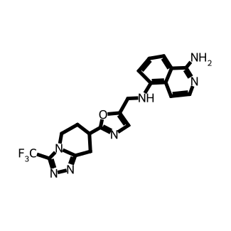 Nc1nccc2c(NCc3cnc(C4CCn5c(nnc5C(F)(F)F)C4)o3)cccc12